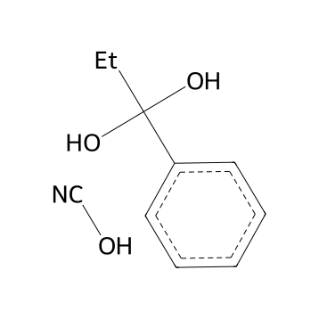 CCC(O)(O)c1ccccc1.N#CO